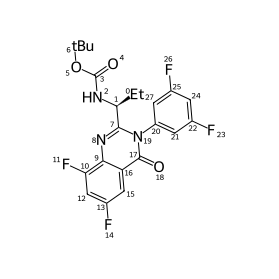 CC[C@H](NC(=O)OC(C)(C)C)c1nc2c(F)cc(F)cc2c(=O)n1-c1cc(F)cc(F)c1